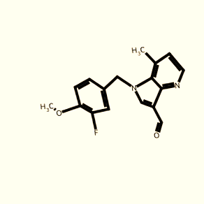 COc1ccc(Cn2cc(C=O)c3nccc(C)c32)cc1F